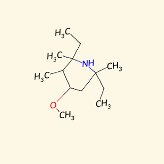 CCC1(C)CC(OC)C(C)C(C)(CC)N1